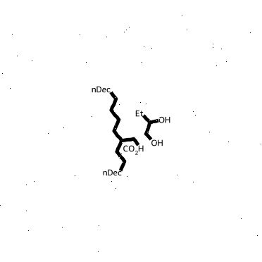 CCC(O)CO.CCCCCCCCCCCCCCC(CCCCCCCCCCCC)CC(=O)O